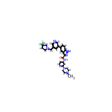 CN1CCN(c2cc(NC(=O)c3n[nH]c4ccc(-c5cncc(CN6CCC(F)(F)C6)c5)cc34)ccn2)CC1